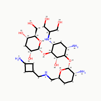 NC1CC(CNC[C@@H]2CC[C@@H](N)[C@@H](OC3[C@@H](N)C[C@@H](NC(CO)CO)[C@H](O[C@H]4O[C@H](CO)[C@@H](O)C[C@H]4O)[C@H]3O)O2)C1